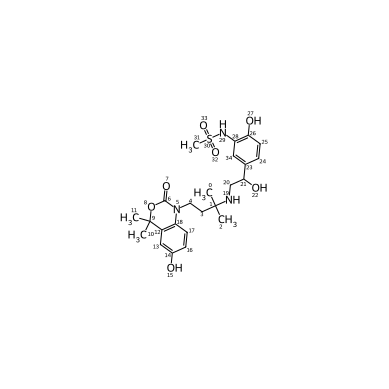 CC(C)(CCN1C(=O)OC(C)(C)c2cc(O)ccc21)NCC(O)c1ccc(O)c(NS(C)(=O)=O)c1